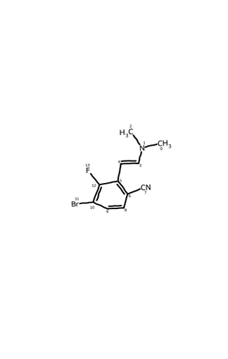 CN(C)C=Cc1c(C#N)ccc(Br)c1F